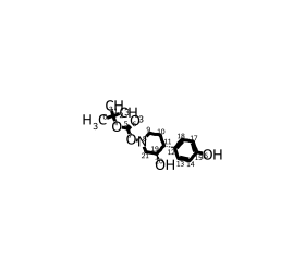 CC(C)(C)OC(=O)ON1CC[C@H](c2ccc(O)cc2)[C@@H](O)C1